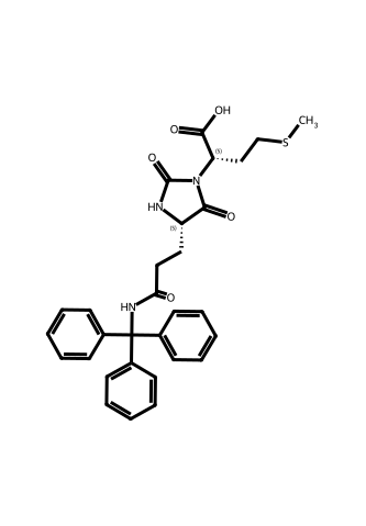 CSCC[C@@H](C(=O)O)N1C(=O)N[C@@H](CCC(=O)NC(c2ccccc2)(c2ccccc2)c2ccccc2)C1=O